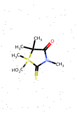 CN1C(=O)C(C)(C)S(C)(C(=O)O)C1=S